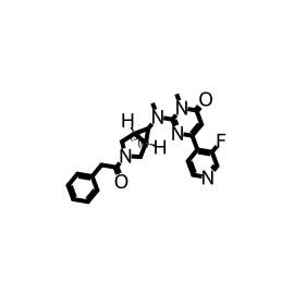 CN(c1nc(-c2ccncc2F)cc(=O)n1C)C1[C@H]2CN(C(=O)Cc3ccccc3)C[C@@H]12